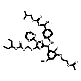 CCC(CC)OC(=O)OCOc1nc([C@H](Nc2ccc(/C(N)=N/C(=O)OCC(C)C)cc2)c2cc(OC)cc(OCCOC(C)=O)c2F)nn1-c1ncccn1